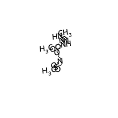 CNc1ccnc(Nc2ccc(OC)c(OCCCN3CCC(S(C)(=O)=O)C3)c2)n1